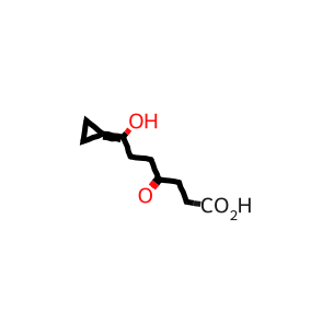 O=C(O)CCC(=O)CCC(O)=C1CC1